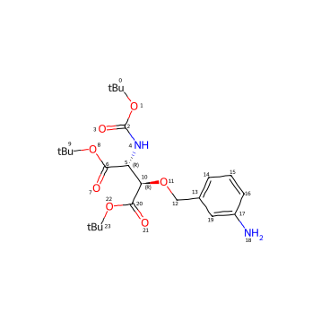 CC(C)(C)OC(=O)N[C@@H](C(=O)OC(C)(C)C)[C@@H](OCc1cccc(N)c1)C(=O)OC(C)(C)C